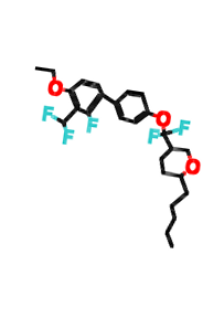 CCCCCC1CCC(C(F)(F)Oc2ccc(-c3ccc(OCC)c(C(F)F)c3F)cc2)CO1